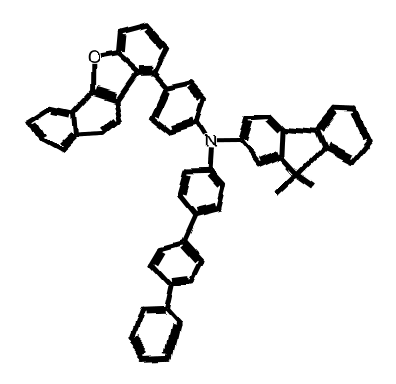 CC1(C)c2ccccc2-c2ccc(N(c3ccc(-c4ccc(-c5ccccc5)cc4)cc3)c3ccc(-c4cccc5oc6c7ccccc7ccc6c45)cc3)cc21